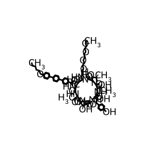 CCCCCOc1ccc(-c2ccc(-c3ccc(C(=O)N[C@H]4C[C@@H](O)C(NCCOCCOCCOCCOC)NC(=O)C5[C@@H](O)[C@@H](C)CN5C(=O)C([C@@H](C)O)NC(=O)C([C@H](O)[C@@H](O)c5ccc(O)cc5)NC(=O)C5C[C@@H](O)CN5C(=O)C([C@@H](C)O)NC4=O)cc3)cc2)cc1